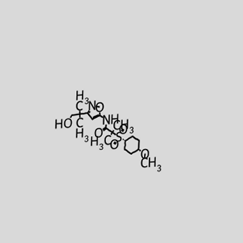 CO[C@H]1CC[C@H](S(=O)(=O)C(C)(C)C(=O)Nc2cc(C(C)(C)CO)no2)CC1